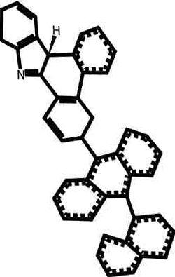 C1=CC2=C(CC1)N=C1C3=C(CC(c4c5ccccc5c(-c5cccc6ccccc56)c5ccccc45)C=C3)c3ccccc3[C@H]12